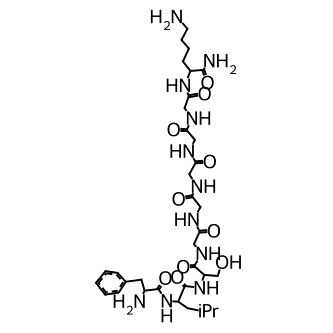 CC(C)CC(NC(=O)C(N)Cc1ccccc1)C(=O)NC(CO)C(=O)NCC(=O)NCC(=O)NCC(=O)NCC(=O)NCC(=O)NC(CCCCN)C(N)=O